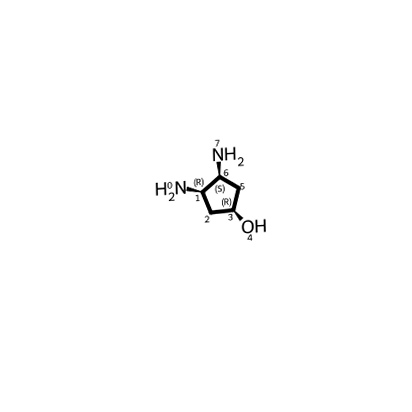 N[C@@H]1C[C@H](O)C[C@@H]1N